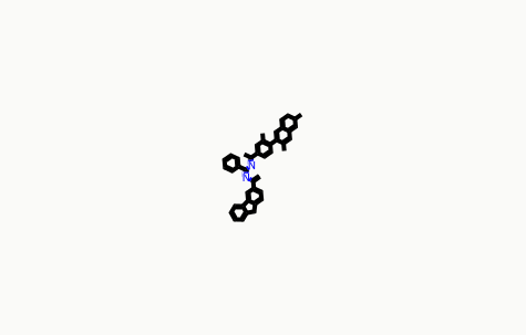 C=C(/N=C(\N=C(/C)c1ccc(-c2cc3c(cc2C)=CC(C)CC=3)c(C)c1)c1ccccc1)c1ccc2c(c1)-c1ccccc1C2